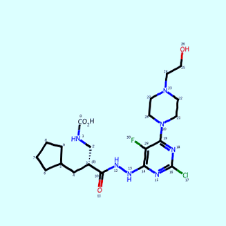 O=C(O)NC[C@@H](CC1CCCC1)C(=O)NNc1nc(Cl)nc(N2CCN(CCO)CC2)c1F